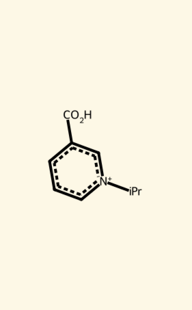 CC(C)[n+]1cccc(C(=O)O)c1